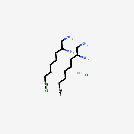 Cl.Cl.NCC(N)CCCC[CH2][Hg][Cl].NCC(N)CCCC[CH2][Hg][Cl]